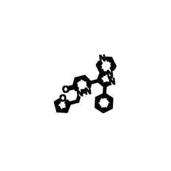 O=c1ccc(-c2c(-c3ccccc3)nn3ccncc23)nn1Cc1ccco1